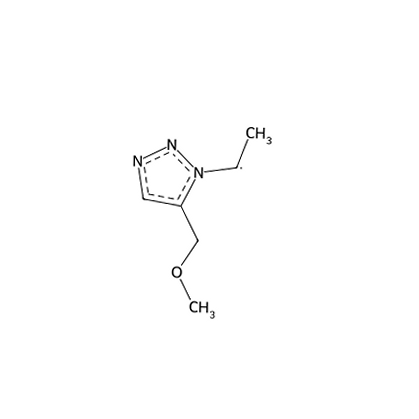 C[CH]n1nncc1COC